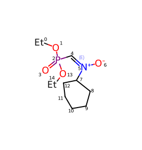 CCOP(=O)(/C=[N+](/[O-])C1CCCCC1)OCC